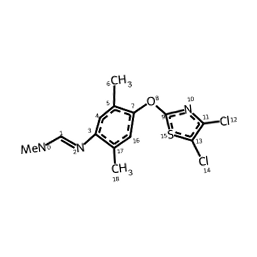 CNC=Nc1cc(C)c(Oc2nc(Cl)c(Cl)s2)cc1C